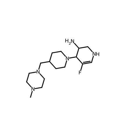 CN1CCN(CC2CCN(C3C(F)=CNCC3N)CC2)CC1